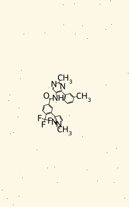 Cc1cccc(-c2nc(C)ncc2NC(=O)c2ccc(C(F)(F)F)c(-c3ccn(C)n3)c2)c1